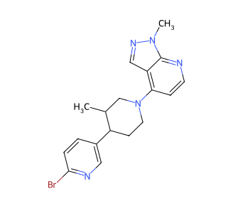 CC1CN(c2ccnc3c2cnn3C)CCC1c1ccc(Br)nc1